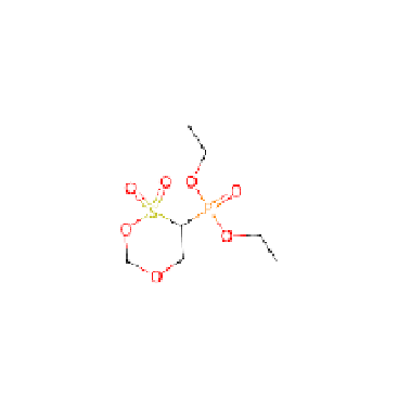 CCOP(=O)(OCC)C1COCOS1(=O)=O